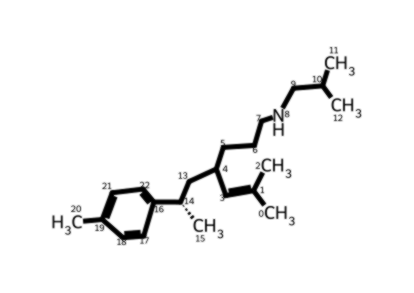 CC(C)=CC(CCCNCC(C)C)C[C@H](C)c1ccc(C)cc1